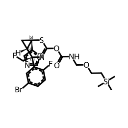 C[Si](C)(C)CCOCNC(=O)OC1=N[C@](CF)(c2cc(Br)ccc2F)[C@@H]2C[C@]2(c2cnco2)S1